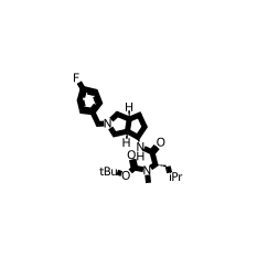 CC(C)C[C@@H](C(=O)N[C@H]1CC[C@@H]2CN(Cc3ccc(F)cc3)C[C@@H]21)N(C)C(=O)OC(C)(C)C